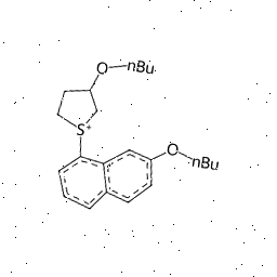 CCCCOc1ccc2cccc([S+]3CCC(OCCCC)C3)c2c1